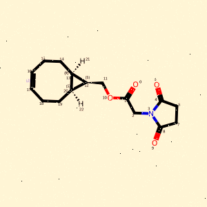 O=C(CN1C(=O)CCC1=O)OC[C@@H]1[C@@H]2CC/C=C\CC[C@@H]21